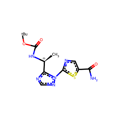 C[C@H](NC(=O)OC(C)(C)C)c1ncnn1-c1ncc(C(N)=O)s1